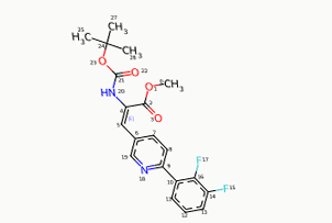 COC(=O)/C(=C\c1ccc(-c2cccc(F)c2F)nc1)NC(=O)OC(C)(C)C